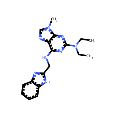 CCN(CC)c1nc(NCc2nc3ccccc3[nH]2)c2ncn(C)c2n1